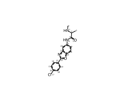 CNC(C)C(=O)Nc1ccc2oc(-c3ccc(Cl)cc3)nc2c1